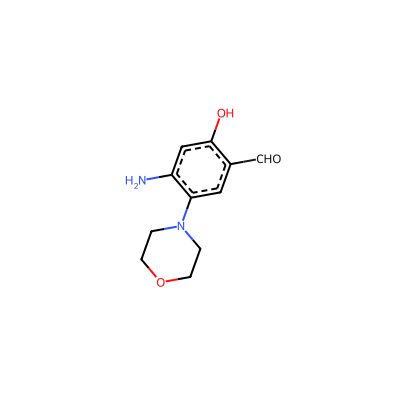 Nc1cc(O)c(C=O)cc1N1CCOCC1